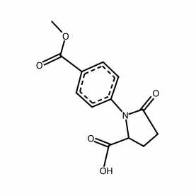 COC(=O)c1ccc(N2C(=O)CCC2C(=O)O)cc1